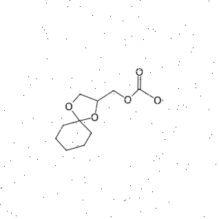 [O]C(=O)OCC1COC2(CCCCC2)O1